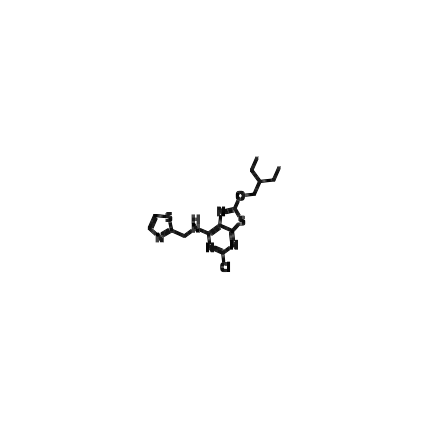 CCC(CC)COc1nc2c(NCc3nccs3)nc(Cl)nc2s1